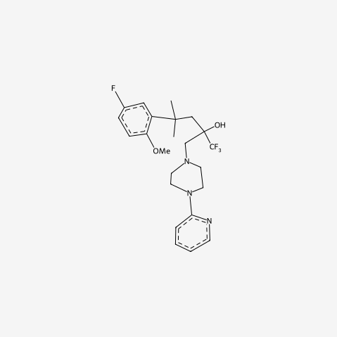 COc1ccc(F)cc1C(C)(C)CC(O)(CN1CCN(c2ccccn2)CC1)C(F)(F)F